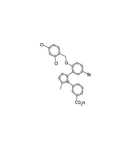 Cc1ccc(-c2cc(Br)ccc2OCc2ccc(Cl)cc2Cl)n1-c1cccc(C(=O)O)c1